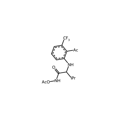 CC(=O)ONC(=O)C(Nc1cccc(C(F)(F)F)c1C(C)=O)C(C)C